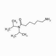 CC(C)N(C(=O)CCCCCN)C(C)C